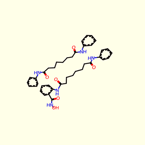 O=C(CCCCCCC(=O)Nc1ccccc1)Nc1ccccc1.O=C(CCCCCCC(=O)Nc1ccccc1C(=O)NO)Nc1ccccc1